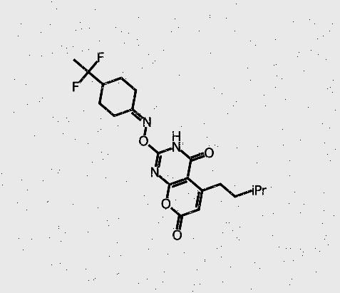 CC(C)CCc1cc(=O)oc2nc(ON=C3CCC(C(C)(F)F)CC3)[nH]c(=O)c12